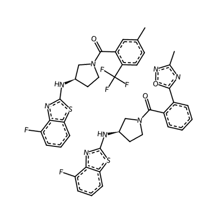 Cc1ccc(C(F)(F)F)c(C(=O)N2CC[C@@H](Nc3nc4c(F)cccc4s3)C2)c1.Cc1noc(-c2ccccc2C(=O)N2CC[C@@H](Nc3nc4c(F)cccc4s3)C2)n1